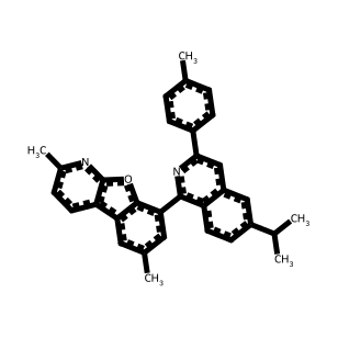 Cc1ccc(-c2cc3cc(C(C)C)ccc3c(-c3cc(C)cc4c3oc3nc(C)ccc34)n2)cc1